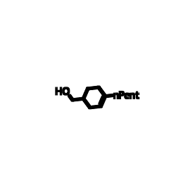 CCCCCC1=CCC(CO)CC1